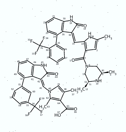 Cc1cc(C(=O)N2C[C@@H](C)N[C@@H](C)C2)c(C=C2C(=O)Nc3cccc(-c4ccccc4C(F)(F)F)c32)[nH]1.Cc1cn(C=C2C(=O)Nc3cccc(-c4cccc(C(F)(F)F)c4)c32)c(C)c1C(=O)O